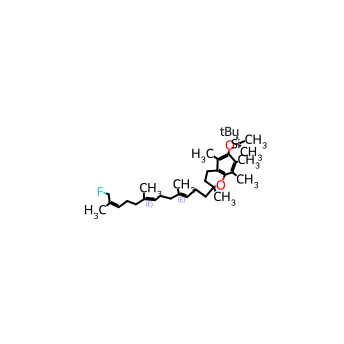 CC(=CCC/C(C)=C/CC/C(C)=C/CCC1(C)CCc2c(C)c(O[Si](C)(C)C(C)(C)C)c(C)c(C)c2O1)CF